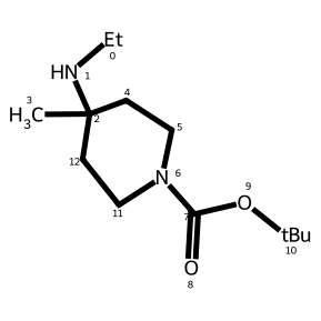 CCNC1(C)CCN(C(=O)OC(C)(C)C)CC1